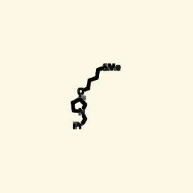 CSCCCCO[C@H]1CCN(CC(C)C)C1